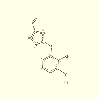 CCc1cccc(Sc2ncc(C=O)[nH]2)c1C